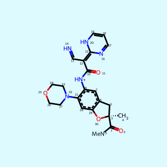 CNC(=O)[C@]1(C)Cc2cc(NC(=O)/C(C=N)=C3\N=CC=CN3)c(N3CCOCC3)cc2O1